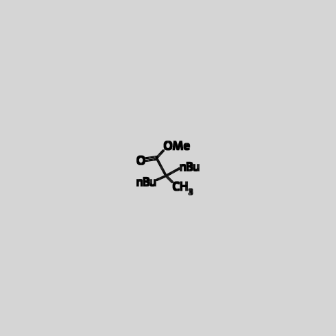 CCCCC(C)(CCCC)C(=O)OC